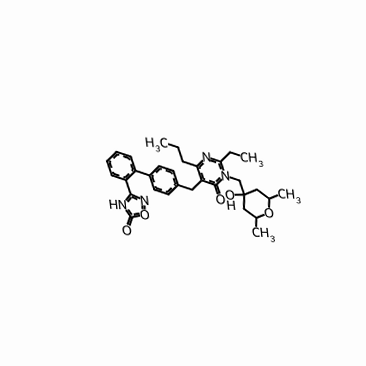 CCCc1nc(CC)n(CC2(O)CC(C)OC(C)C2)c(=O)c1Cc1ccc(-c2ccccc2-c2noc(=O)[nH]2)cc1